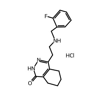 Cl.O=c1[nH]nc(CCNCc2ccccc2F)c2c1CCCC2